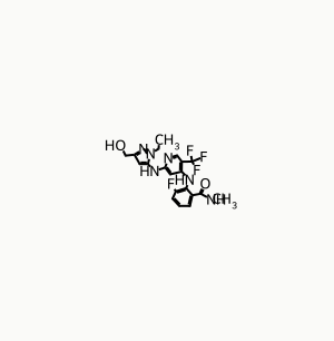 CCn1nc(CO)cc1Nc1cc(Nc2c(F)cccc2C(=O)NC)c(C(F)(F)F)cn1